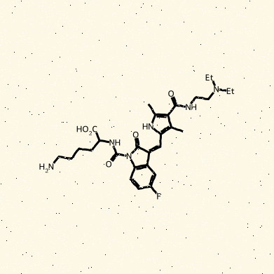 CCN(CC)CCNC(=O)c1c(C)[nH]c(/C=C2\C(=O)N(C(=O)NC(CCCCN)C(=O)O)c3ccc(F)cc32)c1C